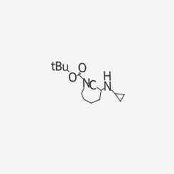 CC(C)(C)OC(=O)N1CCCCC(NC2CC2)C1